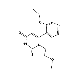 CCOc1ccccc1-c1cc(=O)[nH]c(=S)n1CCOC